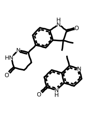 CC1(C)C(=O)Nc2ccc(C3=NNC(=O)CC3)cc21.Cc1nccc2[nH]c(=O)ccc12